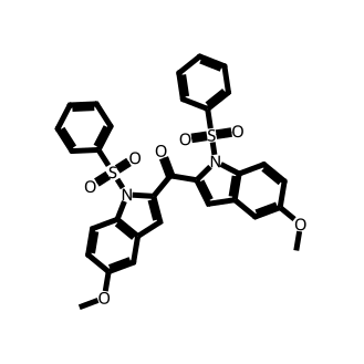 COc1ccc2c(c1)cc(C(=O)c1cc3cc(OC)ccc3n1S(=O)(=O)c1ccccc1)n2S(=O)(=O)c1ccccc1